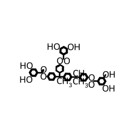 CC(C)(c1ccc(OC(=O)c2cc(O)cc(O)c2)cc1)c1ccc(C(C)(c2ccc(OC(=O)c3cc(O)cc(O)c3)cc2)C2C=CC(OC(=O)c3cc(O)cc(O)c3)=CC2)cc1